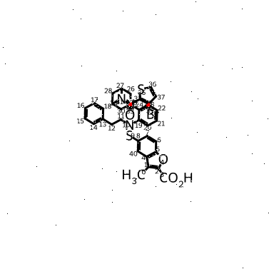 Cc1c(C(=O)O)oc2ccc(SN(CCc3ccccc3)c3ccccc3N3CC4CC(C3)N4C(=O)c3sccc3Br)cc12